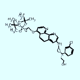 CC(C)(C)OP(=O)(OCOc1ccnc2c1ccc1cc(PO[C@@H](CCO)c3cccc(Cl)c3)cnc12)OC(C)(C)C